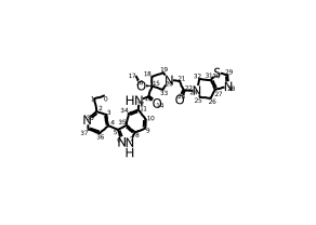 CCc1cc(-c2n[nH]c3ccc(NC(=O)[C@]4(OC)CCN(CC(=O)N5CCc6ncsc6C5)C4)cc23)ccn1